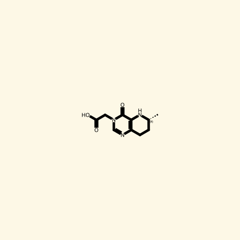 C[C@@H]1CCc2ncn(CC(=O)O)c(=O)c2N1